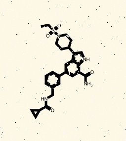 CCS(=O)(=O)N1CCC(c2c[nH]c3c(C(N)=O)cc(-c4cccc(CNC(=O)C5CC5)c4)cc23)CC1